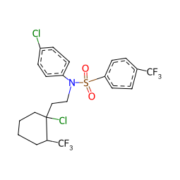 O=S(=O)(c1ccc(C(F)(F)F)cc1)N(CCC1(Cl)CCCCC1C(F)(F)F)c1ccc(Cl)cc1